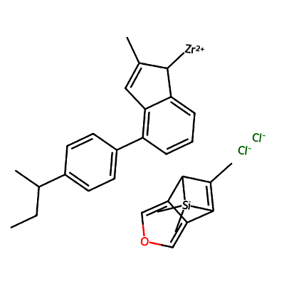 CC1=C2c3cocc3C1[Si]2(C)C.CCC(C)c1ccc(-c2cccc3c2C=C(C)[CH]3[Zr+2])cc1.[Cl-].[Cl-]